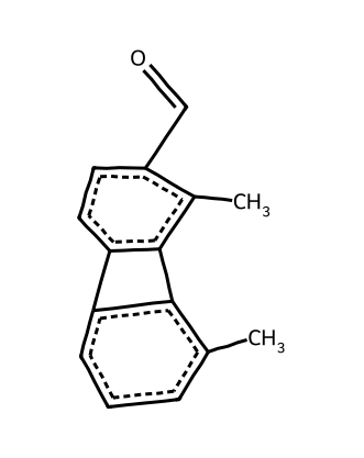 Cc1cccc2c1-c1c-2ccc(C=O)c1C